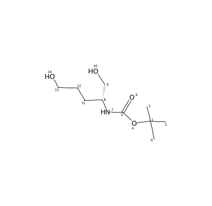 CC(C)(C)OC(=O)N[C@@H](CO)CCCO